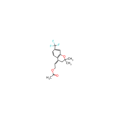 CC(=O)OC/C=C1\CC(C)(C)Oc2cc(C(F)(F)F)ccc21